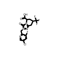 O=C(O)C1CC(C(F)(F)F)Cc2nn(Cc3ncc(Cl)cc3F)c(=O)n21